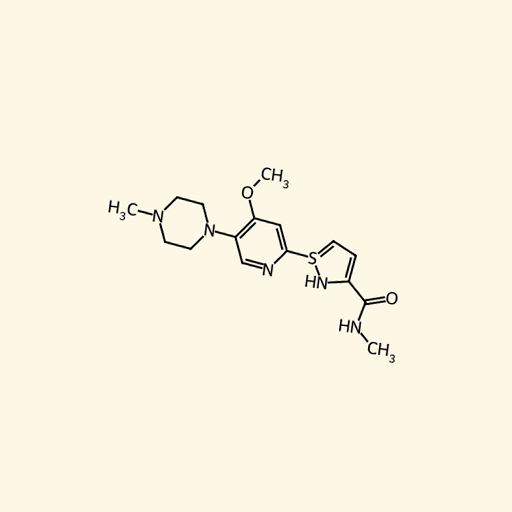 CNC(=O)C1=CC=S(c2cc(OC)c(N3CCN(C)CC3)cn2)N1